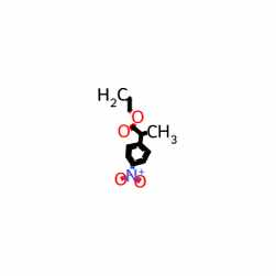 C=CCOC(=O)C(C)c1ccc([N+](=O)[O-])cc1